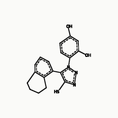 Oc1ccc(-n2nnc(S)c2-c2cccc3c2CCCC3)c(O)c1